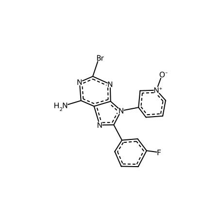 Nc1nc(Br)nc2c1nc(-c1cccc(F)c1)n2-c1ccc[n+]([O-])c1